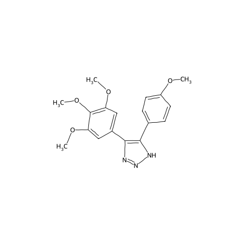 COc1ccc(-c2[nH]nnc2-c2cc(OC)c(OC)c(OC)c2)cc1